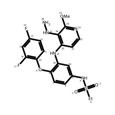 CCS(=O)(=O)Nc1ccc(Oc2ccc(F)cc2F)c(Nc2ccnc(OC)c2NN)c1